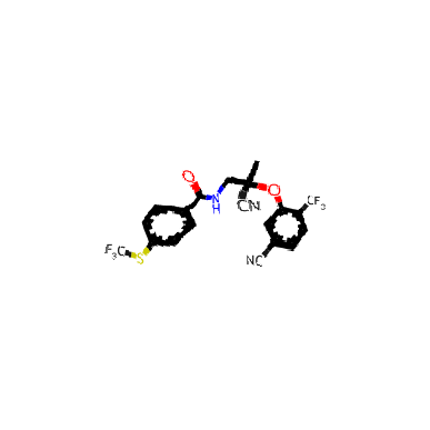 CC(C#N)(CNC(=O)c1ccc(SC(F)(F)F)cc1)Oc1cc(C#N)ccc1C(F)(F)F